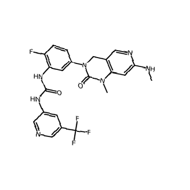 CNc1cc2c(cn1)CN(c1ccc(F)c(NC(=O)Nc3cncc(C(F)(F)F)c3)c1)C(=O)N2C